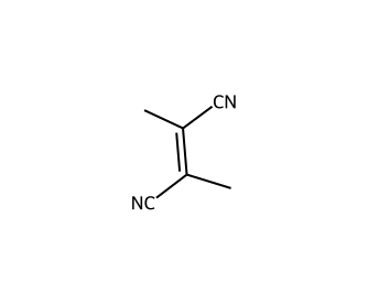 CC(C#N)=C(C)C#N